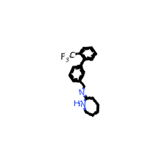 FC(F)(F)c1ccccc1-c1cccc(CN=C2CCCCCN2)c1